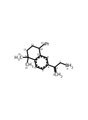 BCC(=C)c1ccc2c(c1)C(C(C)C)CCC2(C)C